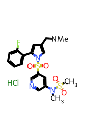 CNCc1cc(-c2ccccc2F)n(S(=O)(=O)c2cncc(N(C)S(C)(=O)=O)c2)c1.Cl